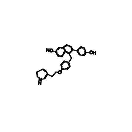 Oc1ccc(-c2ccc3cc(O)ccc3c2Cc2ccc(OCCC3=CNC=CC=C3)cc2)cc1